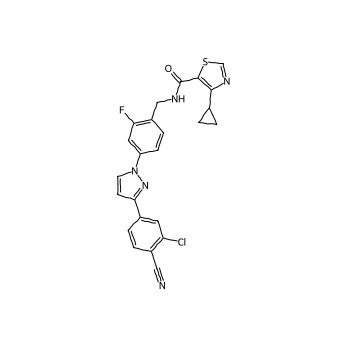 N#Cc1ccc(-c2ccn(-c3ccc(CNC(=O)c4scnc4C4CC4)c(F)c3)n2)cc1Cl